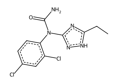 CCc1nc(N(C(N)=O)c2ccc(Cl)cc2Cl)n[nH]1